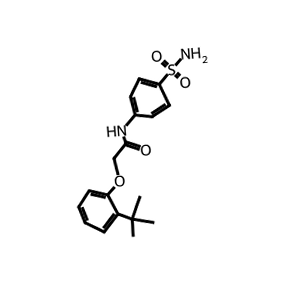 CC(C)(C)c1ccccc1OCC(=O)Nc1ccc(S(N)(=O)=O)cc1